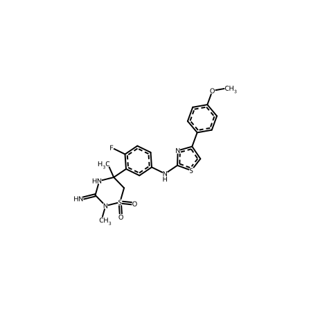 COc1ccc(-c2csc(Nc3ccc(F)c(C4(C)CS(=O)(=O)N(C)C(=N)N4)c3)n2)cc1